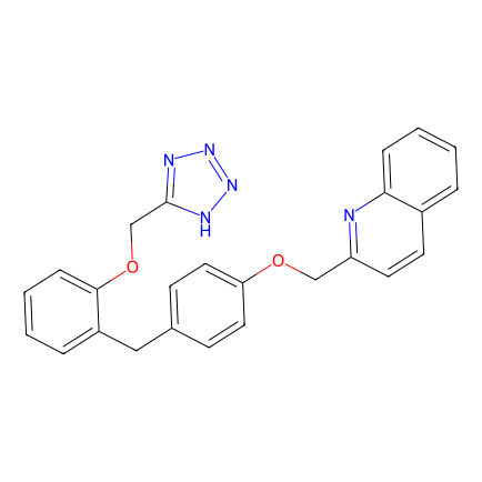 c1ccc(OCc2nnn[nH]2)c(Cc2ccc(OCc3ccc4ccccc4n3)cc2)c1